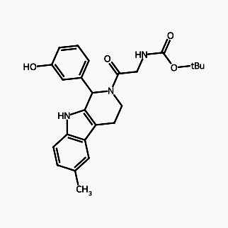 Cc1ccc2[nH]c3c(c2c1)CCN(C(=O)CNC(=O)OC(C)(C)C)C3c1cccc(O)c1